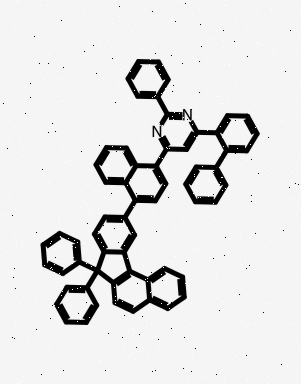 c1ccc(-c2nc(-c3ccccc3-c3ccccc3)cc(-c3ccc(-c4ccc5c(c4)-c4c(ccc6ccccc46)C5(c4ccccc4)c4ccccc4)c4ccccc34)n2)cc1